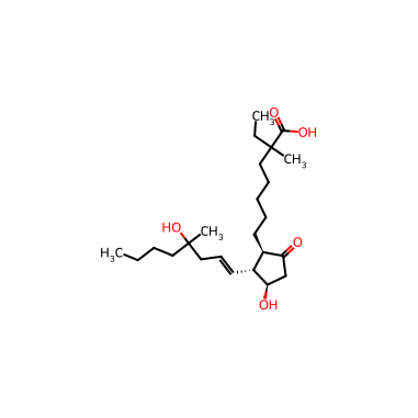 CCCCC(C)(O)C/C=C/[C@H]1[C@H](O)CC(=O)[C@@H]1CCCCCC(C)(CC)C(=O)O